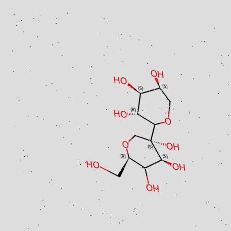 OC[C@H]1OC[C@@](O)(C2OC[C@H](O)[C@H](O)[C@H]2O)[C@@H](O)[C]1O